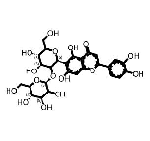 O=c1cc(-c2ccc(O)c(O)c2)oc2cc(O)c([C@@H]3OC(CO)[C@@H](O)[C@H](O)C3O[C@@H]3OC(CO)[C@@H](O)[C@H](O)C3O)c(O)c12